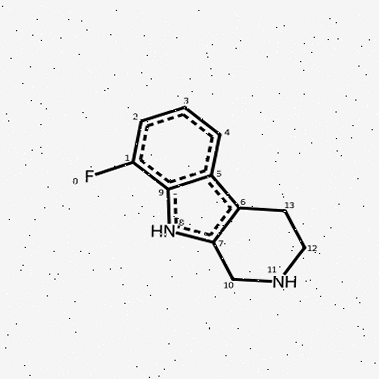 Fc1cccc2c3c([nH]c12)CNCC3